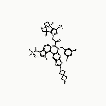 Cn1nc(NS(C)(=O)=O)c2cccc(-c3cc4sc(N5CC6(CNC6)C5)nc4nc3[C@H](Cc3cc(F)cc(F)c3)NC(=O)Cn3nc(C(F)(F)F)c4c3C(F)(F)[C@@H]3CC[C@H]43)c21